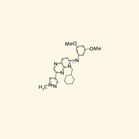 COc1cc(/N=c2\ccc3ncc(-c4cnn(C)c4)nc3n2CC2CCCCC2)cc(OC)c1